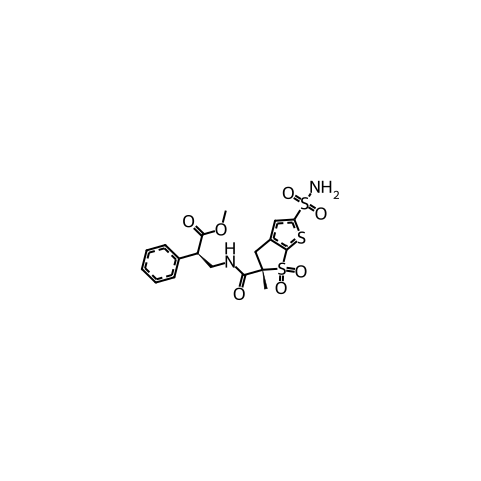 COC(=O)[C@@H](CNC(=O)[C@]1(C)Cc2cc(S(N)(=O)=O)sc2S1(=O)=O)c1ccccc1